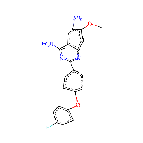 COc1cc2nc(-c3ccc(Oc4ccc(F)cc4)cc3)nc(N)c2cc1N